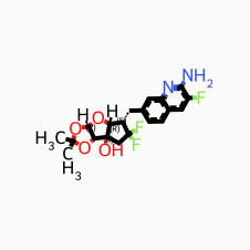 CC1(C)OC2[C@H](O[C@@H]3[C@H](Cc4ccc5cc(F)c(N)nc5c4)C(F)(F)C[C@]23O)O1